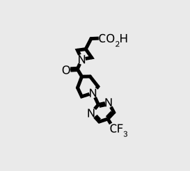 O=C(O)CC1CN(C(=O)C2CCN(c3ncc(C(F)(F)F)cn3)CC2)C1